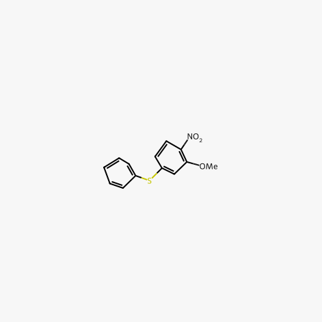 COc1cc(Sc2ccccc2)ccc1[N+](=O)[O-]